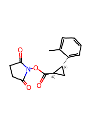 Cc1ccccc1[C@@H]1C[C@H]1C(=O)ON1C(=O)CCC1=O